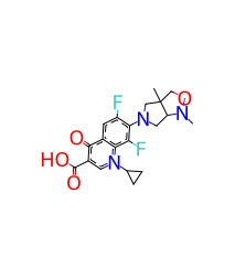 CN1OCC2(C)CN(c3c(F)cc4c(=O)c(C(=O)O)cn(C5CC5)c4c3F)CC12